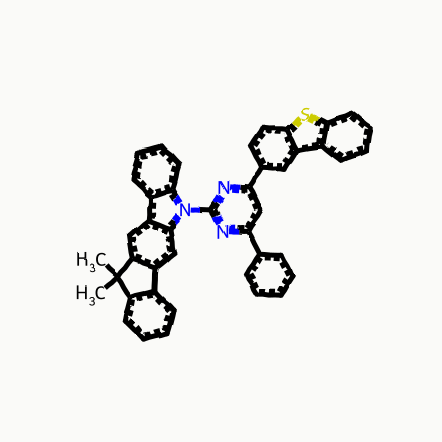 CC1(C)c2ccccc2-c2cc3c(cc21)c1ccccc1n3-c1nc(-c2ccccc2)cc(-c2ccc3sc4ccccc4c3c2)n1